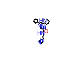 O=C(NCCCn1ccnc1)c1cc2nc(-c3ccccc3)cc(C3CCCCN3)n2n1